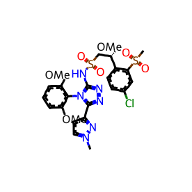 COc1cccc(OC)c1-n1c(NS(=O)(=O)C[C@H](OC)c2ccc(Cl)cc2S(C)(=O)=O)nnc1-c1ccn(C)n1